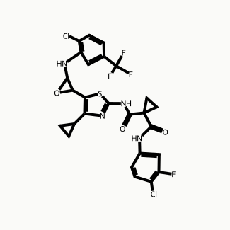 O=C(Nc1ccc(Cl)c(F)c1)C1(C(=O)Nc2nc(C3CC3)c(C3OC3Nc3cc(C(F)(F)F)ccc3Cl)s2)CC1